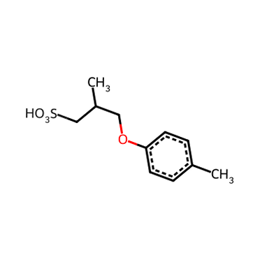 Cc1ccc(OCC(C)CS(=O)(=O)O)cc1